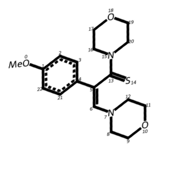 COc1ccc(C(=CN2CCOCC2)C(=S)N2CCOCC2)cc1